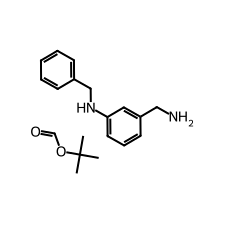 CC(C)(C)OC=O.NCc1cccc(NCc2ccccc2)c1